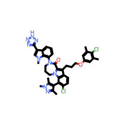 Cc1cc(OCCCc2c3n(c4c(-c5c(C)nn(C)c5C)c(Cl)ccc24)CCCN(c2cccc4c(-c5nn[nH]n5)cn(C)c24)C3=O)cc(C)c1Cl